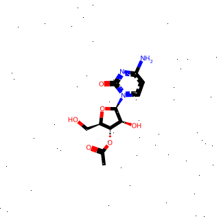 CC(=O)O[C@H]1[C@H](O)[C@H](n2ccc(N)nc2=O)O[C@@H]1CO